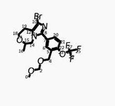 COCOCc1cc(-c2nc(Br)c3n2CC(C)OCC3)ccc1OC(F)(F)F